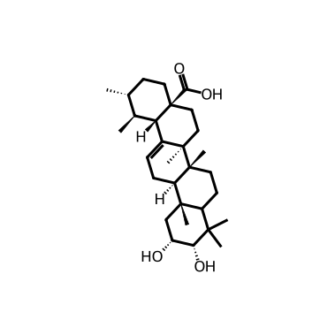 C[C@H]1[C@H](C)CC[C@]2(C(=O)O)CC[C@]3(C)C(=CC[C@@H]4[C@@]5(C)C[C@@H](O)[C@@H](O)C(C)(C)C5CC[C@]43C)[C@H]12